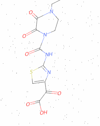 CCN1CCN(C(=O)Nc2nc(C(=O)C(=O)O)cs2)C(=O)C1=O